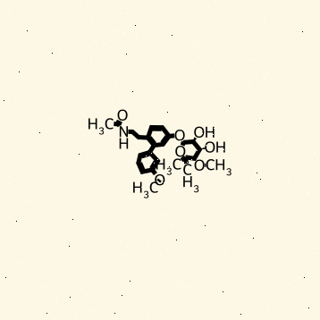 COc1cccc(-c2cc(OC3OC(C)(C)[C@H](OC)[C@@H](O)[C@@H]3O)ccc2CCNC(C)=O)c1